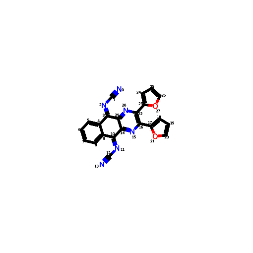 N#C/N=C1/c2ccccc2/C(=N\C#N)c2nc(-c3ccco3)c(-c3ccco3)nc21